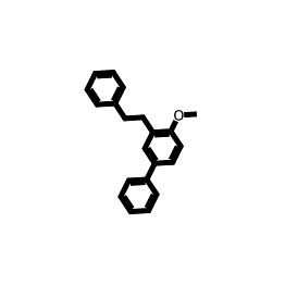 COc1ccc(-c2ccccc2)cc1CCc1ccccc1